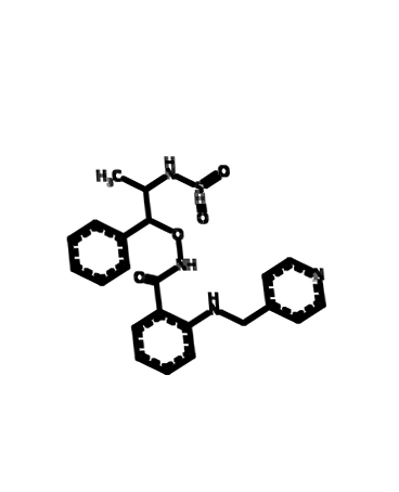 CC(N[SH](=O)=O)C(ONC(=O)c1ccccc1NCc1ccncc1)c1ccccc1